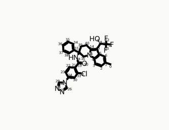 Cc1ccc2c(c1)c([C@H](O)C(F)(F)F)c1n2CC(NC(=O)c2ccc(-n3cnnc3)cc2Cl)(c2ccccc2)CC1